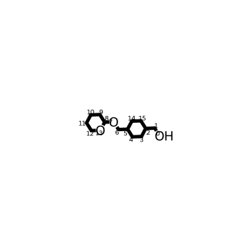 OCC1CCC(COC2CCCCO2)CC1